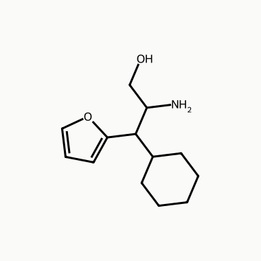 NC(CO)C(c1ccco1)C1CCCCC1